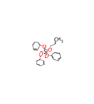 C=CCO[Si](Oc1ccccc1)(Oc1ccccc1)Oc1ccccc1